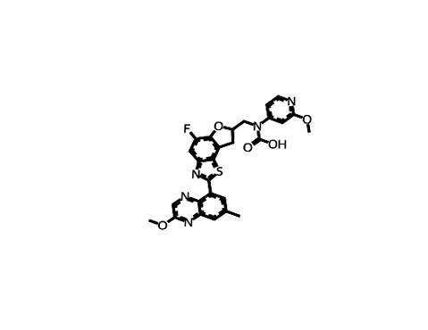 COc1cc(N(CC2Cc3c(c(F)cc4nc(-c5cc(C)cc6nc(OC)cnc56)sc34)O2)C(=O)O)ccn1